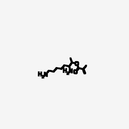 C=C(C)C(=O)OC(C)C(N)CCCCCN